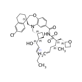 C=CC[C@@H](C)[C@H](C[C@H]1CCO1)S(=O)(=O)NC(=O)c1ccc2c(c1)N(C[C@@H]1CC[C@H]1[C@@H](O)/C=C/CCC)C[C@@]1(CCCc3cc(Cl)ccc31)CO2